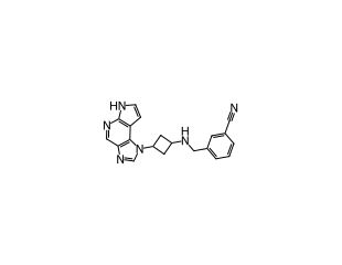 N#Cc1cccc(CNC2CC(n3cnc4cnc5[nH]ccc5c43)C2)c1